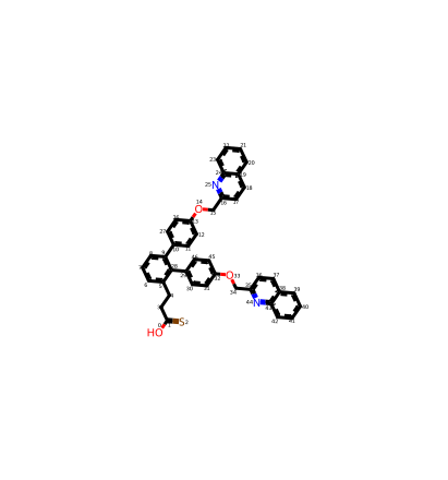 OC(=S)CCc1cccc(-c2ccc(OCc3ccc4ccccc4n3)cc2)c1-c1ccc(OCc2ccc3ccccc3n2)cc1